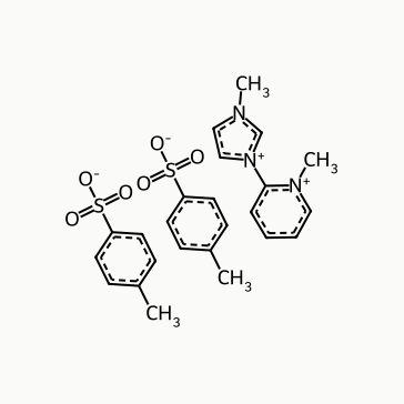 Cc1ccc(S(=O)(=O)[O-])cc1.Cc1ccc(S(=O)(=O)[O-])cc1.Cn1cc[n+](-c2cccc[n+]2C)c1